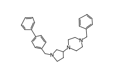 c1ccc(CN2CCN(C3CCN(Cc4ccc(-c5ccccc5)cc4)C3)CC2)cc1